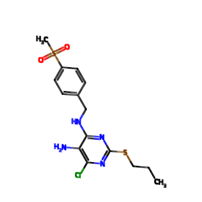 CCCSc1nc(Cl)c(N)c(NCc2ccc(S(C)(=O)=O)cc2)n1